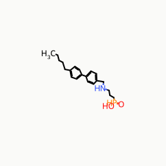 CCCCCc1ccc(-c2ccc(CNCCC[PH](=O)O)cc2)cc1